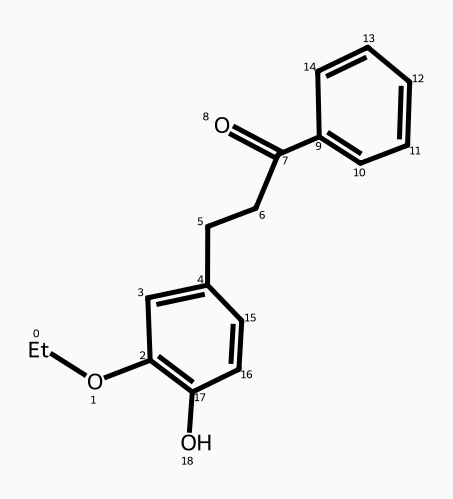 CCOc1cc(CCC(=O)c2ccccc2)ccc1O